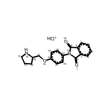 Cl.O=C1c2ccccc2C(=O)N1c1ccc(OCC2CCCN2)cc1